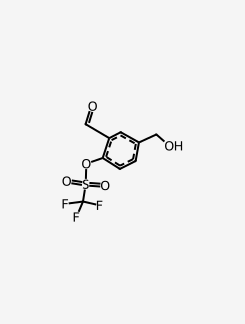 O=Cc1cc(CO)ccc1OS(=O)(=O)C(F)(F)F